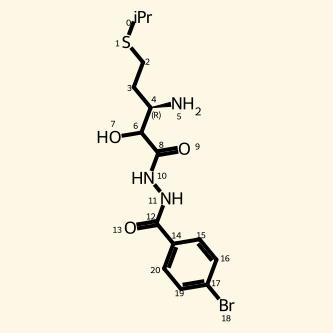 CC(C)SCC[C@@H](N)C(O)C(=O)NNC(=O)c1ccc(Br)cc1